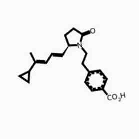 C/C(=C\C=C\[C@H]1CCC(=O)N1CCc1ccc(C(=O)O)cc1)C1CC1